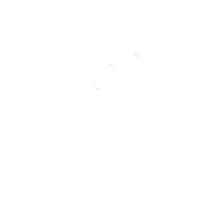 CCN1CCN(c2nc(-c3ccc(C4=CCOCC4)cc3)cc3ccsc23)CC1